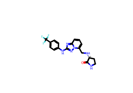 O=C1NCC[C@H]1NCc1cccc2nc(Nc3ccc(C(F)(F)F)cc3)nn12